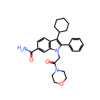 NC(=O)c1ccc2c(C3CCCCC3)c(-c3ccccc3)n(CC(=O)N3CCOCC3)c2c1